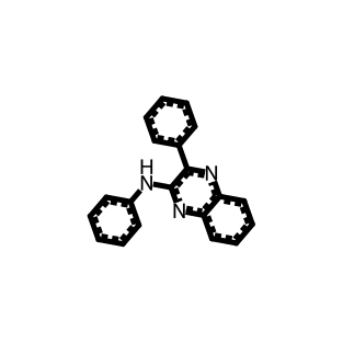 c1ccc(Nc2nc3ccccc3nc2-c2ccccc2)cc1